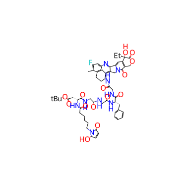 CC[C@@]1(O)C(=O)OCc2c1cc1n(c2=O)Cc2c-1nc1cc(F)c(C)c3c1c2[C@@H](NC(=O)CNC(=O)[C@H](Cc1ccccc1)NC(=O)CNC(=O)CNC(=O)[C@@H](CC(=O)OC(C)(C)C)NC(=O)CCCCCN1C(=O)C=CC1O)CC3